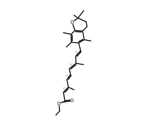 CCOC(=O)/C=C(C)/C=C/C=C(C)/C=C/c1c(C)c(C)c2c(c1C)CCC(C)(C)O2